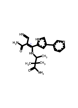 CC(N/C(=C(/C=N)C(N)=O)c1cc(-c2cccnc2)c[nH]1)C(C)(C)C(N)=O